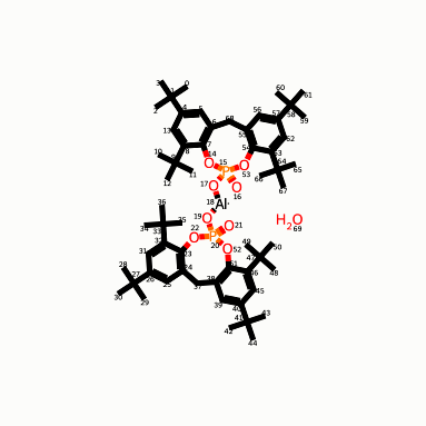 CC(C)(C)c1cc2c(c(C(C)(C)C)c1)OP(=O)([O][Al][O]P1(=O)Oc3c(cc(C(C)(C)C)cc3C(C)(C)C)Cc3cc(C(C)(C)C)cc(C(C)(C)C)c3O1)Oc1c(cc(C(C)(C)C)cc1C(C)(C)C)C2.O